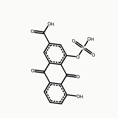 O=C(O)c1cc(OS(=O)(=O)O)c2c(c1)C(=O)c1cccc(O)c1C2=O